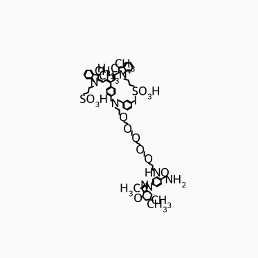 Cc1nn(-c2ccc(C(N)=O)c(NCCCOCCOCCOCCOCCOCCCN(Cc3ccc(C(=C\C=C4\N(CCCCS(=O)(=O)O)c5ccccc5C4(C)C)/C=C/C4=[N+](CCCCS(=O)(=O)O)c5ccccc5C4(C)C)cc3)Cc3cccc(I)c3)c2)c2c1C(=O)CC(C)(C)C2